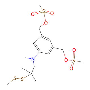 CSSC(C)(C)CN(C)c1cc(COS(C)(=O)=O)cc(COS(C)(=O)=O)c1